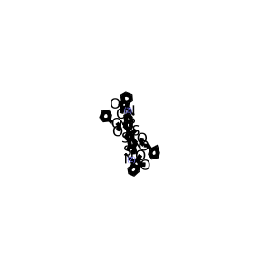 O=C(OCc1ccccc1)n1c2cc(/N=c3\c(=O)c(=O)c4ccccc34)sc2c2sc3c(sc4c5sc(/N=c6\c(=O)c(=O)c7ccccc67)cc5n(C(=O)OCc5ccccc5)c43)c21